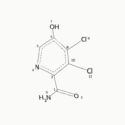 NC(=O)c1ncc(O)c(Cl)c1Cl